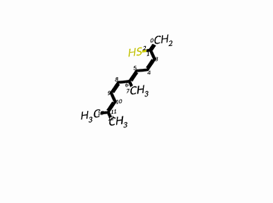 C=C(S)\C=C/C=C(C)/C=C\C=C(C)C